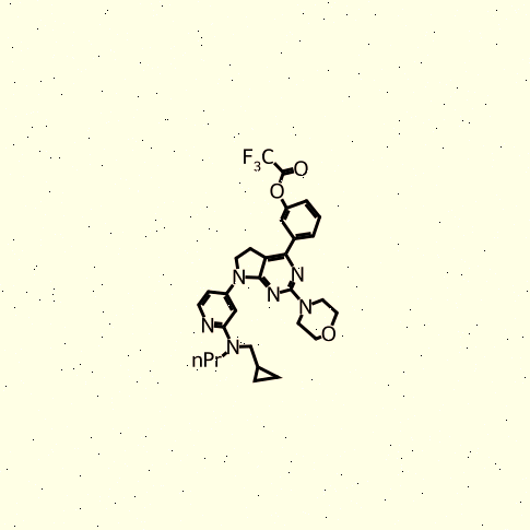 CCCN(CC1CC1)c1cc(N2CCc3c(-c4cccc(OC(=O)C(F)(F)F)c4)nc(N4CCOCC4)nc32)ccn1